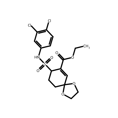 CCOC(=O)C1=CC2(CCC1S(=O)(=O)Nc1ccc(Cl)c(Cl)c1)OCCO2